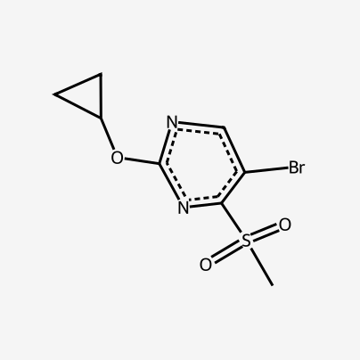 CS(=O)(=O)c1nc(OC2CC2)ncc1Br